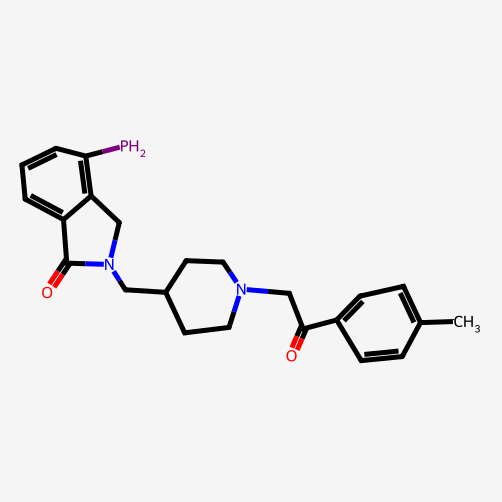 Cc1ccc(C(=O)CN2CCC(CN3Cc4c(P)cccc4C3=O)CC2)cc1